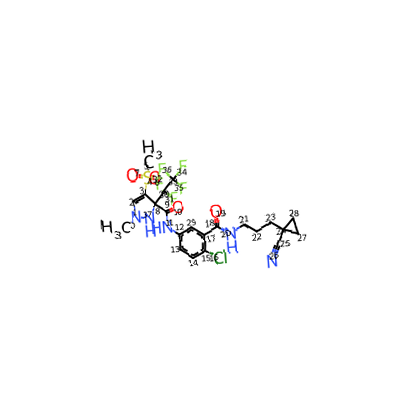 CN1C=C(S(C)(=O)=O)C(C(=O)Nc2ccc(Cl)c(C(=O)NCCCC3(C#N)CC3)c2)(C(F)(F)C(F)(F)F)N1